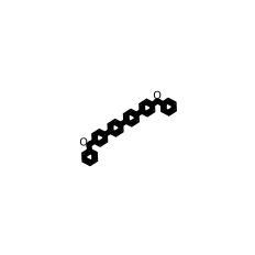 O=C(c1ccccc1)c1ccc(-c2ccc(-c3ccc(-c4ccc(C(=O)c5ccccc5)cc4)cc3)cc2)cc1